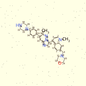 C=N/C=C\C(=C1\C=CC(CN2CCOCC2)=CC1)c1cnc2cc(-c3ccc(N4CCNCC4)cc3)c(C)nn12